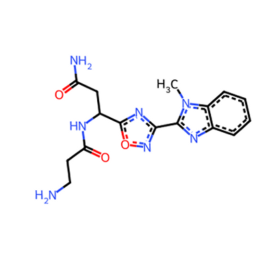 Cn1c(-c2noc(C(CC(N)=O)NC(=O)CCN)n2)nc2ccccc21